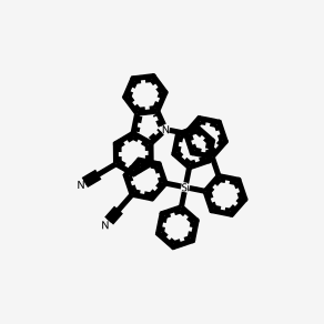 N#Cc1cccc([Si](c2ccccc2)(c2ccccc2)c2ccccc2-c2cccc(-n3c4ccccc4c4cc(C#N)ccc43)c2)c1